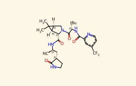 CC(C)(C)[C@H](NC(=O)c1cc(C(F)(F)F)ccn1)C(=O)N1C[C@H]2[C@@H]([C@H]1C(=O)N[C@H](C#N)C[C@@H]1CCNC1=O)C2(C)C